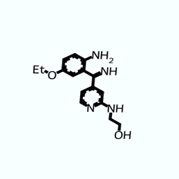 CCOc1ccc(N)c(C(=N)c2ccnc(NCCO)c2)c1